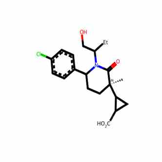 CCC(CO)N1C(=O)[C@@](C)(C2CC2C(=O)O)CCC1c1ccc(Cl)cc1